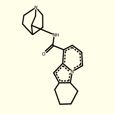 O=C(NC1CN2CCC1CC2)c1cccn2c3c(cc12)CCCC3